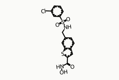 O=C(NO)c1cc2ccc(CNS(=O)(=O)c3cccc(Cl)c3)cc2s1